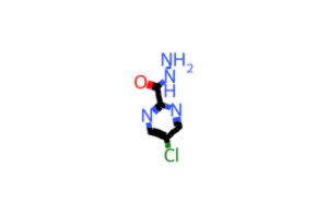 NNC(=O)c1ncc(Cl)cn1